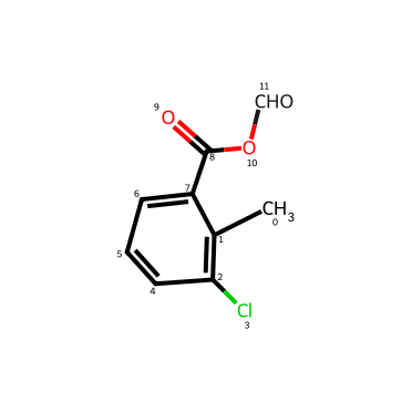 Cc1c(Cl)cccc1C(=O)OC=O